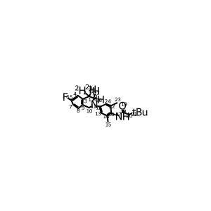 [2H]C1([2H])c2cc(F)ccc2CN(c2cc(C)c(NC(=O)CC(C)(C)C)c(C)c2)C1([2H])[2H]